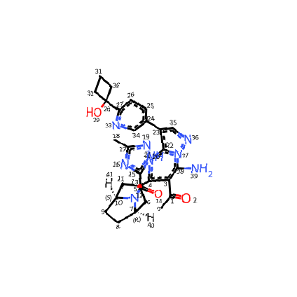 CC(=O)c1c(C2C[C@H]3CC[C@@H](C2)N3C(=O)c2nc(C)n[nH]2)nc2c(-c3ccc(C4(O)CCC4)nc3)cnn2c1N